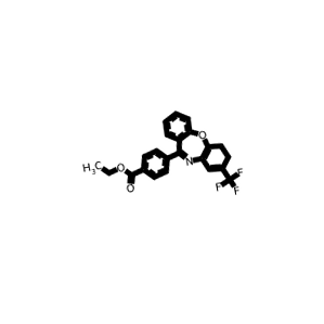 CCOC(=O)c1ccc(C2=NC3=C(CCC(C(F)(F)F)=C3)Oc3ccccc32)cc1